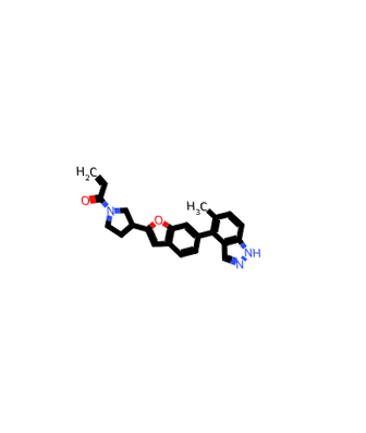 C=CC(=O)N1CCC(c2cc3ccc(-c4c(C)ccc5[nH]ncc45)cc3o2)C1